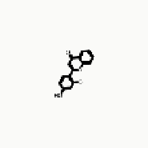 O=c1cc(-c2ccc(O)cc2O)oc2ccccc12